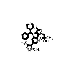 Cc1nnn(C)c1-c1cnc2c3c(c(Cl)nn3CC(C)(C)O)n(C(c3ccccc3)C3CCOCC3)c2c1